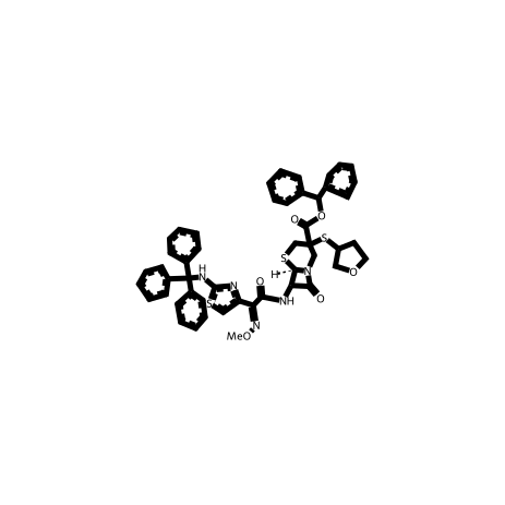 CON=C(C(=O)NC1C(=O)N2CC(SC3CCOC3)(C(=O)OC(c3ccccc3)c3ccccc3)CS[C@H]12)c1csc(NC(c2ccccc2)(c2ccccc2)c2ccccc2)n1